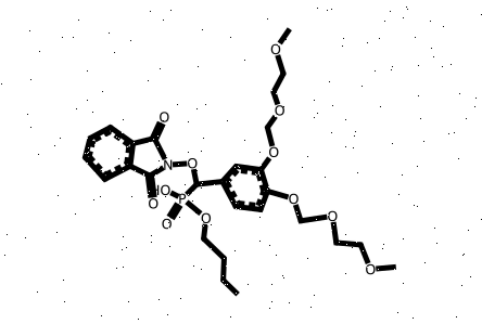 CCCCOP(=O)(O)C(ON1C(=O)c2ccccc2C1=O)c1ccc(OCOCCOC)c(OCOCCOC)c1